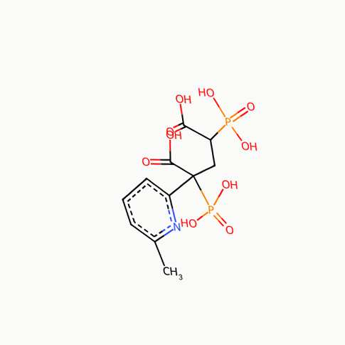 Cc1cccc(C(CC(C(=O)O)P(=O)(O)O)(C(=O)O)P(=O)(O)O)n1